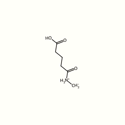 [CH2-][NH2+]C(=O)CCCC(=O)O